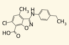 CCc1ccc(Nc2noc3c(C(=O)O)c(Cl)cc(C)c23)cc1